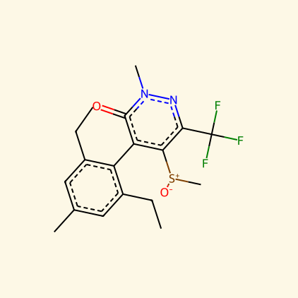 CCc1cc(C)cc(CC)c1-c1c([S+](C)[O-])c(C(F)(F)F)nn(C)c1=O